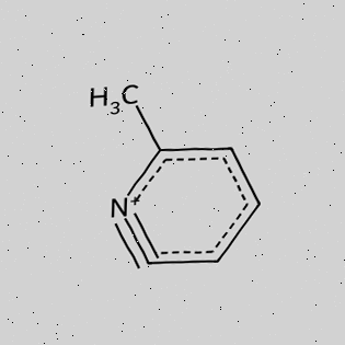 Cc1cccc#[n+]1